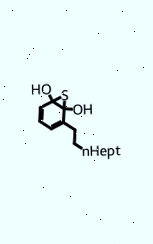 CCCCCCCCCC1=CC=CC2(O)SC12O